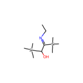 CCN=C(C(O)[Si](C)(C)C)[Si](C)(C)C